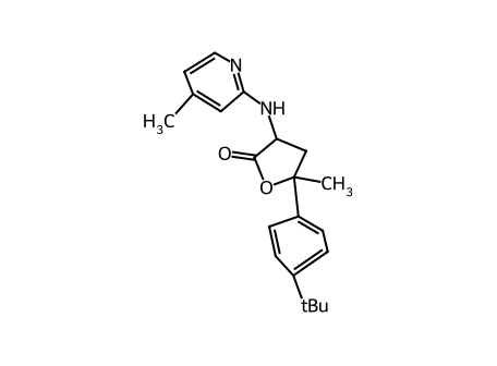 Cc1ccnc(NC2CC(C)(c3ccc(C(C)(C)C)cc3)OC2=O)c1